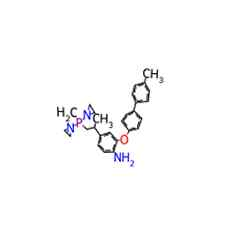 C=P(CC(C)c1ccc(N)c(Oc2ccc(-c3ccc(C)cc3)cc2)c1)(N1CC1)N1CC1